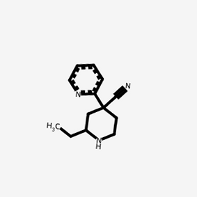 CCC1CC(C#N)(c2ccccn2)CCN1